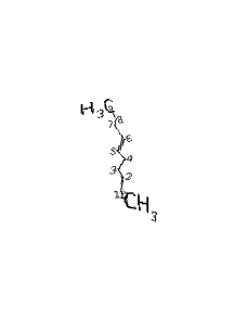 C[CH]CCCC=CCCC